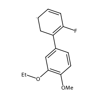 CCOc1cc(C2=C(F)C=C[CH]C2)ccc1OC